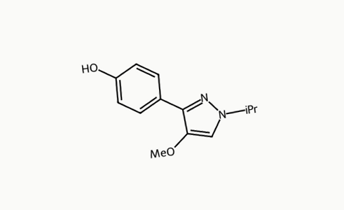 COc1cn(C(C)C)nc1-c1ccc(O)cc1